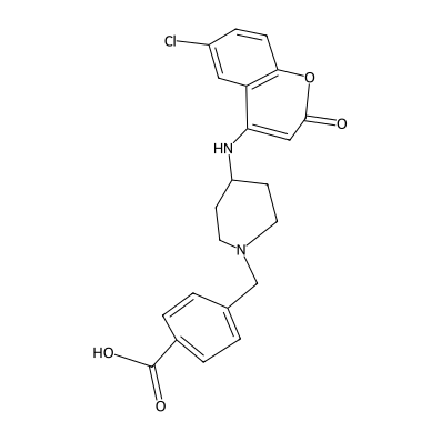 O=C(O)c1ccc(CN2CCC(Nc3cc(=O)oc4ccc(Cl)cc34)CC2)cc1